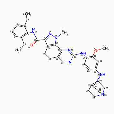 CCc1cccc(CC)c1NC(=O)c1nn(C)c2c1CCc1cnc(Nc3ccc(NC4CN5CCC4CC5)cc3OC)nc1-2